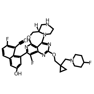 C#Cc1c(F)ccc2cc(O)cc(-c3nc4c5c(nc(OCC6(CN7CCC(F)CC7)CC6)nc5c3F)N3CCNC[C@H]3CO4)c12